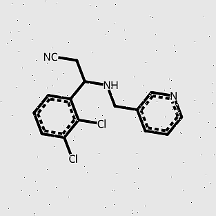 N#CCC(NCc1cccnc1)c1cccc(Cl)c1Cl